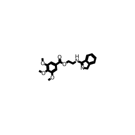 COc1cc(C(=O)OCCNC2=NCc3ccccc32)cc(OC)c1OC